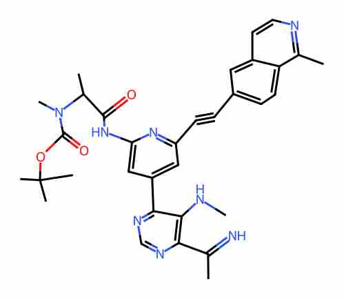 CNc1c(C(C)=N)ncnc1-c1cc(C#Cc2ccc3c(C)nccc3c2)nc(NC(=O)C(C)N(C)C(=O)OC(C)(C)C)c1